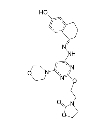 O=C1OCCN1CCOc1nc(NN=C2CCCc3cc(O)ccc32)cc(N2CCOCC2)n1